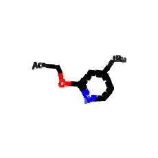 CC(=O)COc1cc(C(C)(C)C)ccn1